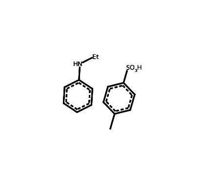 CCNc1ccccc1.Cc1ccc(S(=O)(=O)O)cc1